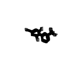 O=[N+]([O-])c1cc[c]c(-c2c(Cl)cc(Cl)cc2Cl)c1